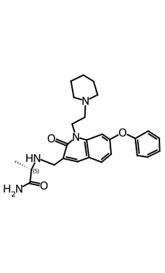 C[C@H](NCc1cc2ccc(Oc3ccccc3)cc2n(CCN2CCCCC2)c1=O)C(N)=O